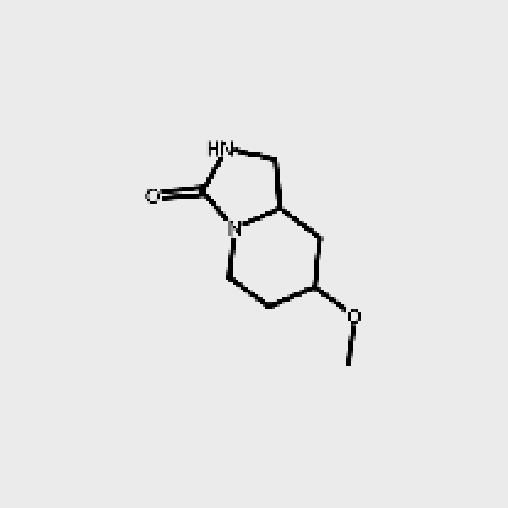 COC1CCN2C(=O)NCC2C1